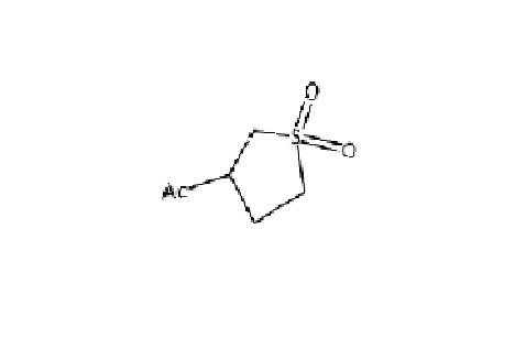 CC(=O)C1CCS(=O)(=O)C1